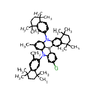 Cc1cc2c3c(c1)N(c1cc4c(cc1C)C(C)(C)CCC4(C)C)c1cc(Cl)ccc1B3c1cc3c(cc1N2c1ccc2c(c1)C(C)(C)CCC2(C)C)C(C)(C)CCC3(C)C